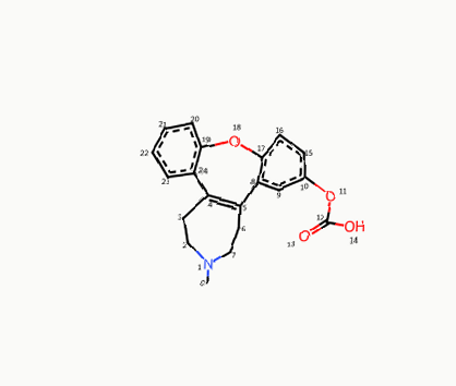 CN1CCC2=C(CC1)c1cc(OC(=O)O)ccc1Oc1ccccc12